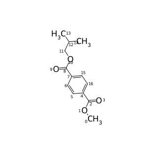 COC(=O)c1ccc(C(=O)OCC(C)C)cc1